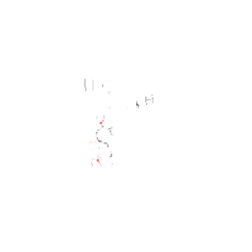 CCCCC(CCC)Oc1ccc2ccc(=O)oc2c1